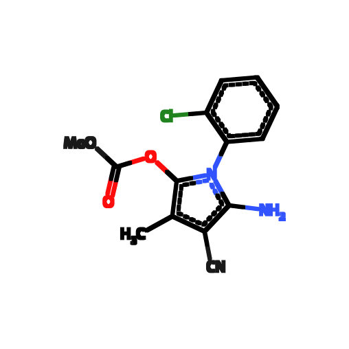 COC(=O)Oc1c(C)c(C#N)c(N)n1-c1ccccc1Cl